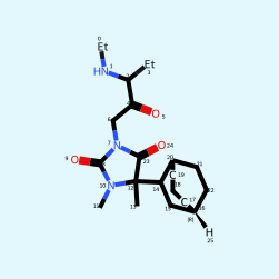 CCNC(CC)C(=O)CN1C(=O)N(C)C(C)(C2C[C@@H]3CCCC2CC3)C1=O